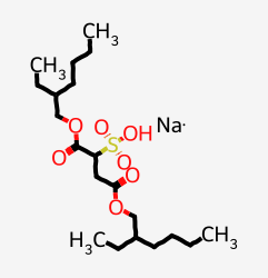 CCCCC(CC)COC(=O)CC(C(=O)OCC(CC)CCCC)S(=O)(=O)O.[Na]